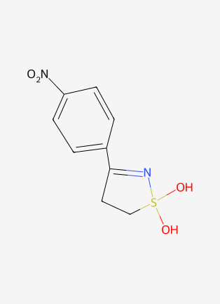 O=[N+]([O-])c1ccc(C2=NS(O)(O)CC2)cc1